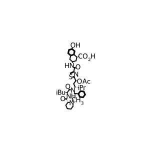 CC[C@H](C)[C@H](NC(=O)[C@H]1CCCCN1C)C(=O)N(Cc1ccccc1)[C@H](C[C@@H](OC(C)=O)c1nc(C(=O)N[C@H]2Cc3ccc(O)cc3[C@H](C(=O)O)C2)cs1)C(C)C